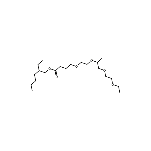 CCCCC(CC)COC(=O)CCCOCCOC(C)COCCOCC